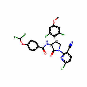 COc1cc(F)c([C@@H]2CN(c3nc(Cl)ccc3C#N)C(=O)[C@H]2NC(=O)c2ccc(OC(F)F)cc2)c(F)c1